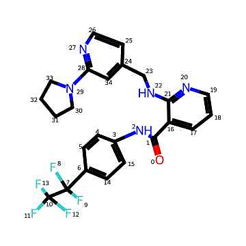 O=C(Nc1ccc(C(F)(F)C(F)(F)F)cc1)c1cccnc1NCc1ccnc(N2CCCC2)c1